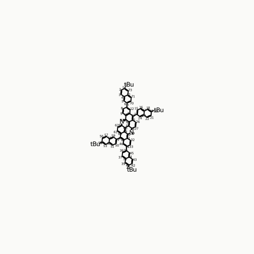 CC(C)(C)c1ccc2cc(-c3ccc4c(c3)c(-c3ccc5cc(C(C)(C)C)ccc5c3)c3ccc5nc6c7ccc(-c8ccc9cc(C(C)(C)C)ccc9c8)cc7c(-c7ccc8cc(C(C)(C)C)ccc8c7)c7ccc8nc4c3c5c8c76)ccc2c1